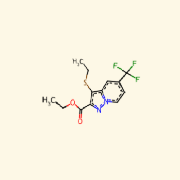 CCOC(=O)c1nn2ccc(C(F)(F)F)cc2c1SCC